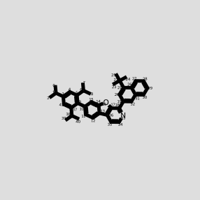 CC(C)c1cc(C(C)C)c(-c2ccc3c(c2)oc2c(-c4cc(C(C)(C)C)c5ccccc5c4)nccc23)c(C(C)C)c1